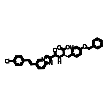 O=C(N[C@@H](Cc1ccc(OCc2ccccc2)cc1)C(=O)O)c1cn2cc(C=Cc3ccc(Cl)cc3)ccc2n1